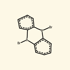 BrB1c2ccccc2B(Br)c2ccccc21